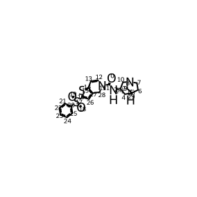 O=C(N[C@@H]1C[C@@H]2CCN(C2)C1)N1C=Cc2sc(S(=O)(=O)c3ccccc3)cc2C1